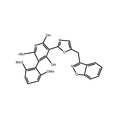 CCCCc1nc(O)c(-c2ncc(Cc3noc4ccccc34)o2)c(O)c1-c1c(OC)cccc1OC